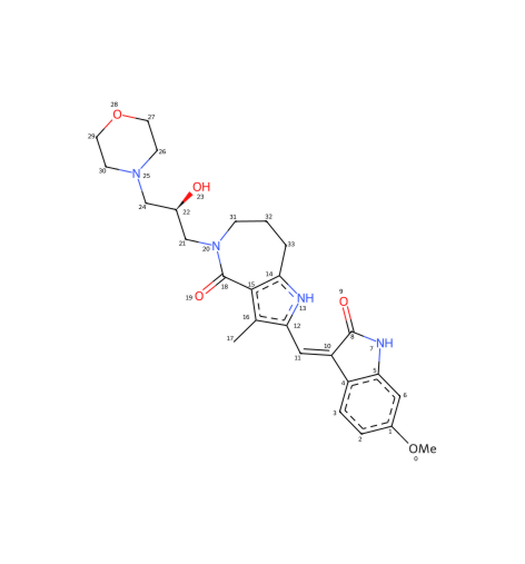 COc1ccc2c(c1)NC(=O)C2=Cc1[nH]c2c(c1C)C(=O)N(C[C@H](O)CN1CCOCC1)CCC2